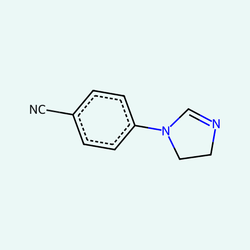 N#Cc1ccc(N2C=NCC2)cc1